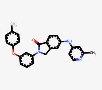 Cc1ccc(Oc2cccc(N3Cc4cc(Nc5ccnc(C)c5)ccc4C3=O)c2)cc1